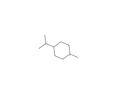 C[C]1CCC([C](C)C)CC1